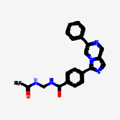 CC(=O)NCNC(=O)c1ccc(-c2ncc3cnc(-c4ccccc4)cn23)cc1